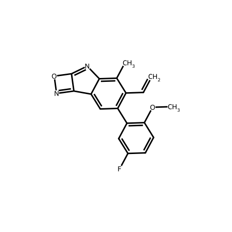 C=Cc1c(-c2cc(F)ccc2OC)cc2c(c1C)N=C1ON=C12